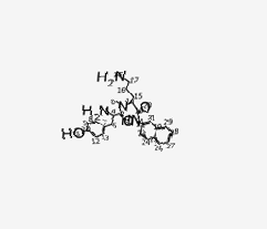 CN(C(=O)C(N)Cc1ccc(O)cc1)C(CCCN)C(=O)Nc1ccc2ccccc2c1